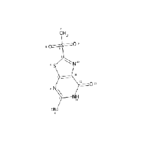 CC(C)(C)c1nc2sc(S(C)(=O)=O)nc2c(=O)[nH]1